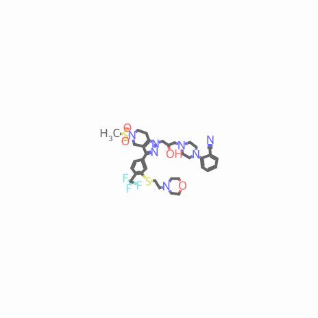 CS(=O)(=O)N1CCc2c(c(-c3ccc(C(F)(F)F)c(SCCN4CCOCC4)c3)nn2CC(O)CN2CCN(c3ccccc3C#N)CC2)C1